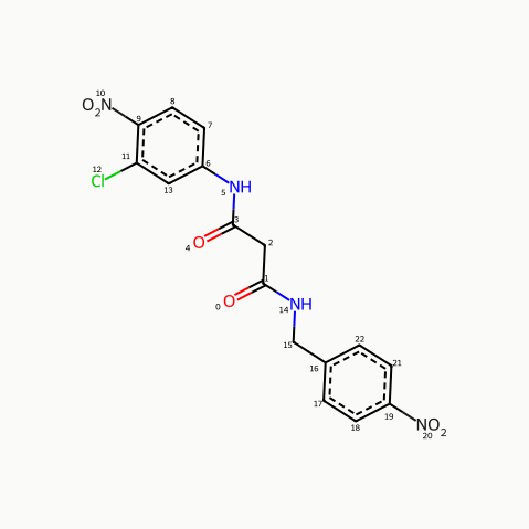 O=C(CC(=O)Nc1ccc([N+](=O)[O-])c(Cl)c1)NCc1ccc([N+](=O)[O-])cc1